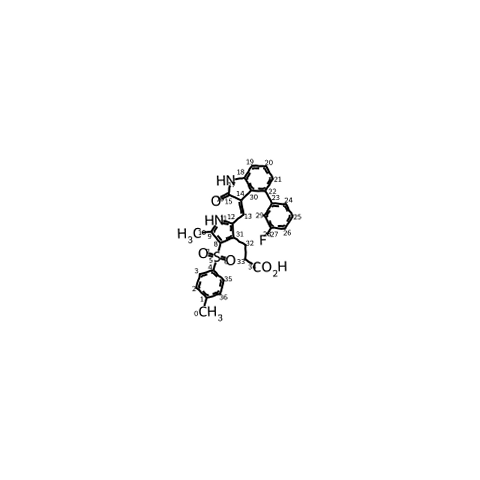 Cc1ccc(S(=O)(=O)c2c(C)[nH]c(/C=C3\C(=O)Nc4cccc(-c5cccc(F)c5)c43)c2CCC(=O)O)cc1